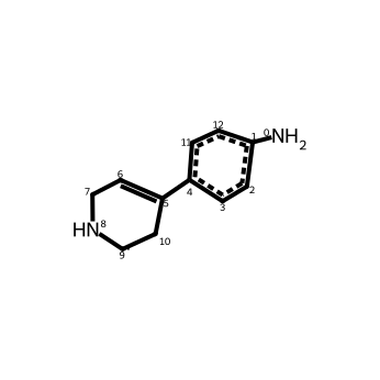 Nc1ccc(C2=CCN[CH]C2)cc1